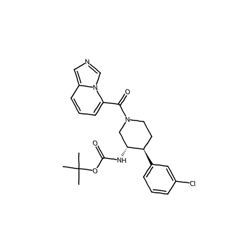 CC(C)(C)OC(=O)N[C@@H]1CN(C(=O)c2cccc3cncn23)CC[C@H]1c1cccc(Cl)c1